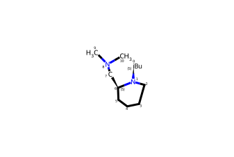 CC[C@H](C)N1CCCC[C@H]1CN(C)C